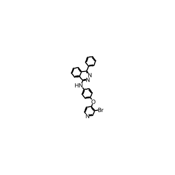 Brc1cnccc1Oc1ccc(Nc2nnc(-c3ccccc3)c3ccccc23)cc1